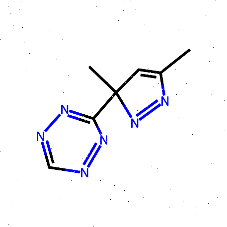 CC1=CC(C)(c2nncnn2)N=N1